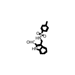 Cc1ccc(S(=O)(=O)NCc2c(C=O)[nH]c3ccccc23)cc1